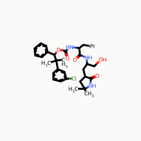 CC(C)CC(NC(=O)OC(c1ccccc1)C(C)(C)c1cccc(Cl)c1)C(=O)NC(CO)CC1CC(C)(C)NC1=O